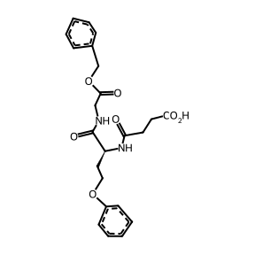 O=C(O)CCC(=O)N[C@@H](CCOc1ccccc1)C(=O)NCC(=O)OCc1ccccc1